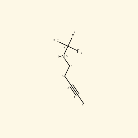 CC#CCCNC(F)(F)F